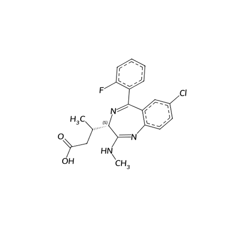 CNC1=Nc2ccc(Cl)cc2C(c2ccccc2F)=N[C@H]1C(C)CC(=O)O